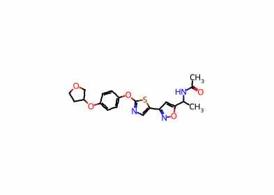 CC(=O)NC(C)c1cc(-c2cnc(Oc3ccc(OC4CCOC4)cc3)s2)no1